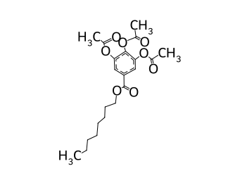 CCCCCCCCOC(=O)c1cc(OC(C)=O)c(OC(C)=O)c(OC(C)=O)c1